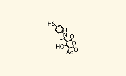 CC(=O)C1=C(O)/C(=C(\C)Nc2ccc(S)cc2)C(=O)OC1=O